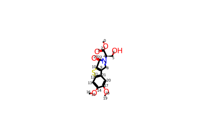 COC(=O)[C@@H](CO)N1Cc2c(sc3cc(OC)c(OC)cc23)C1=O